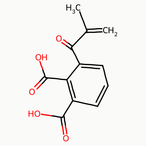 C=C(C)C(=O)c1cccc(C(=O)O)c1C(=O)O